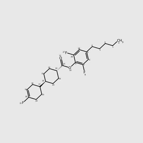 CCCCCc1cc(F)c(OC(=O)[C@H]2CC[C@H](C3CC=C(F)CC3)CC2)c(F)c1